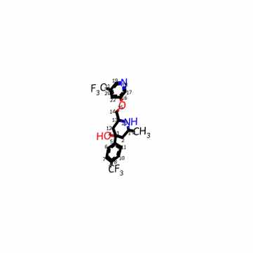 CC1CC(O)(c2ccc(C(F)(F)F)cc2)CC(COc2cncc(C(F)(F)F)c2)N1